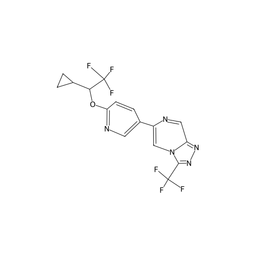 FC(F)(F)c1nnc2cnc(-c3ccc(OC(C4CC4)C(F)(F)F)nc3)cn12